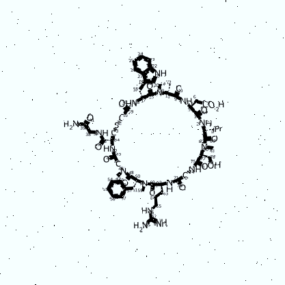 CC(C)[C@H]1NC(=O)[C@H](CC(=O)O)NC(=O)[C@@H](C)N(C)C(=O)[C@@H](Cc2c[nH]c3ccccc23)NC(=O)CSC[C@@H](C(=O)NCC(N)=O)NC(=O)CN(C)C(=O)[C@@H](Cc2ccccc2)N(C)C(=O)[C@H](CCCNC(=N)N)NC(=O)CNC(=O)[C@H](CO)N(C)C1=O